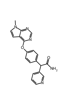 Cn1ccc2c(Oc3ccc(C(C(N)=O)c4cccnc4)cc3)ncnc21